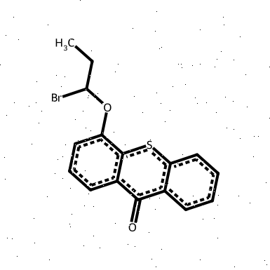 CCC(Br)Oc1cccc2c(=O)c3ccccc3sc12